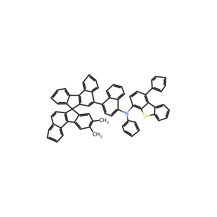 Cc1cc2c(cc1C)C1(c3ccccc3-c3c1cc(-c1ccc(N(c4ccccc4)c4ccc(-c5ccccc5)c5c4sc4ccccc45)c4ccccc14)c1ccccc31)c1ccc3ccccc3c1-2